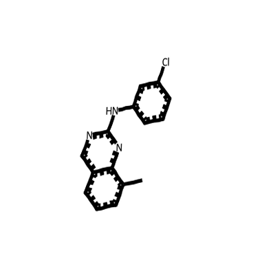 Cc1cccc2cnc(Nc3cccc(Cl)c3)nc12